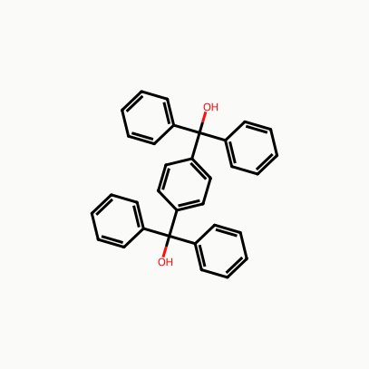 OC(c1ccccc1)(c1ccccc1)c1ccc(C(O)(c2ccccc2)c2ccccc2)cc1